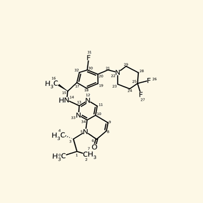 CC(C)[C@H](C)n1c(=O)ccc2cnc(N[C@@H](C)c3ccc(CN4CCC(F)(F)CC4)c(F)c3)nc21